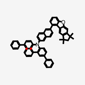 CC1(C)CC(C)(C)c2cc3c(cc21)oc1cccc(-c2ccc4cc(N(c5ccc(-c6ccccc6)cc5)c5ccc(-c6ccccc6)cc5-c5ccccc5)ccc4c2)c13